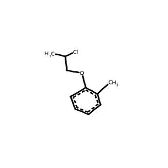 Cc1ccccc1OCC(C)Cl